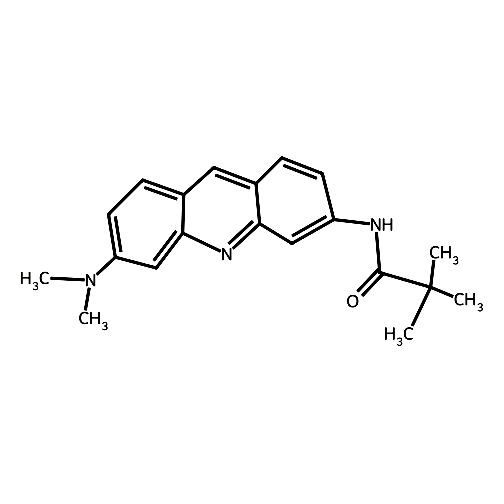 CN(C)c1ccc2cc3ccc(NC(=O)C(C)(C)C)cc3nc2c1